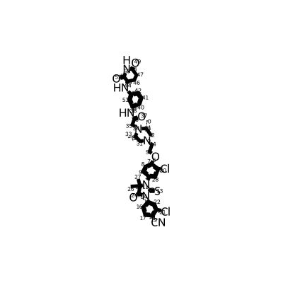 C[C@@H]1CN(CCOc2ccc(N3C(=S)N(c4ccc(C#N)c(Cl)c4)C(=O)C3(C)C)cc2Cl)C[C@H](C)N1CC(=O)Nc1cccc(NC2CCC(=O)NC2=O)c1